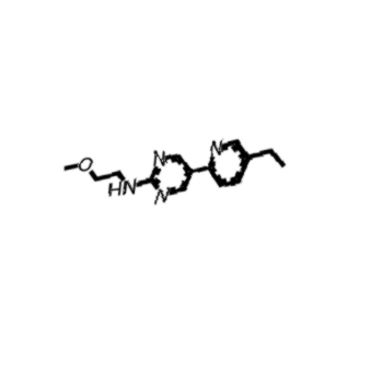 CCc1ccc(-c2cnc(NCCOC)nc2)nc1